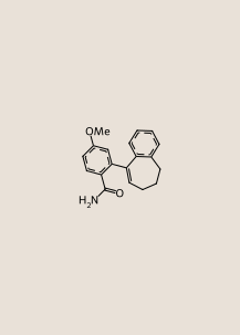 COc1ccc(C(N)=O)c(C2=CCCCc3ccccc32)c1